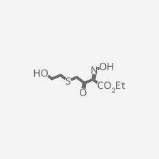 CCOC(=O)/C(=N\O)C(=O)CSCCO